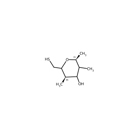 CC1C(O)[C@@H](C)C(CS)O[C@H]1C